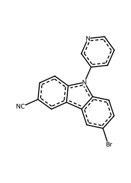 N#Cc1ccc2c(c1)c1cc(Br)ccc1n2-c1cccnc1